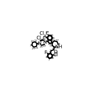 O=C(Cc1c(F)cccc1Cl)C1CC(CCN2CCN(C3CCCCC3)CC2)(c2ccc(C(Cl)(Cl)Cl)c(C(Cl)(Cl)Cl)c2)CCCN1